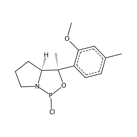 COc1cc(C)ccc1[C@@]1(C)OP(Cl)N2CCC[C@H]21